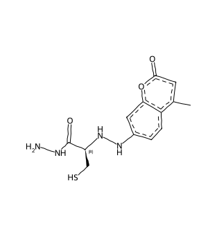 Cc1cc(=O)oc2cc(NN[C@@H](CS)C(=O)NN)ccc12